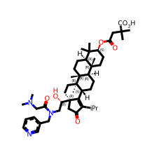 CC(C)C1=C2[C@H]3CC[C@@H]4[C@@]5(C)CC[C@H](OC(=O)CC(C)(C)C(=O)O)C(C)(C)[C@@H]5CC[C@@]4(C)[C@]3(C)CC[C@@]2([C@@H](O)CN(Cc2cccnc2)C(=O)CN(C)C)CC1=O